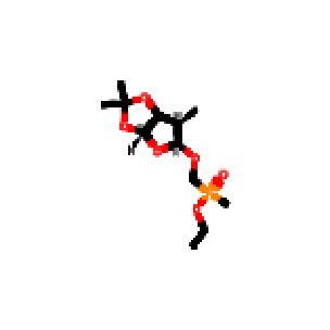 CCOP(C)(=O)CO[C@H]1O[C@H]2OC(C)(C)OC2[C@H]1C